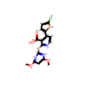 COc1cc(OC)nc(Sc2nccc(-c3ccc(Cl)s3)c2C(=O)O)n1